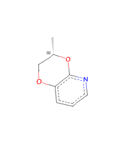 C[C@H]1COc2cccnc2O1